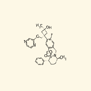 C[C@H]1CC[C@H](c2ccccc2)S(=O)(=O)N1Cc1cc(F)c([C@]2(COc3cnccn3)C[C@](C)(O)C2)cc1F